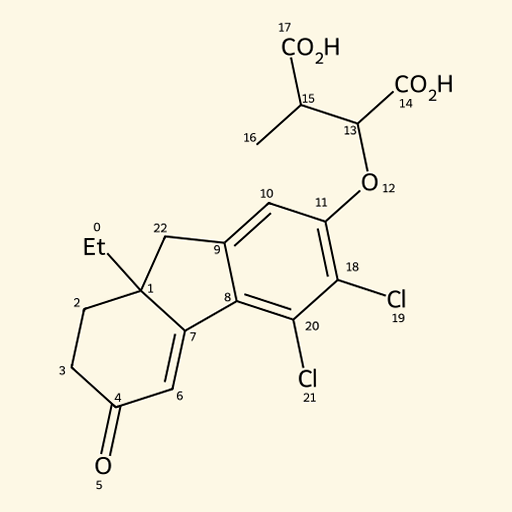 CCC12CCC(=O)C=C1c1c(cc(OC(C(=O)O)C(C)C(=O)O)c(Cl)c1Cl)C2